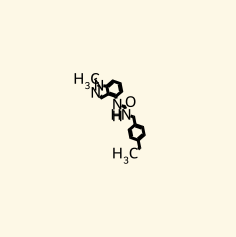 CCc1ccc(CNC(=O)Nc2cccc3c2cnn3C)cc1